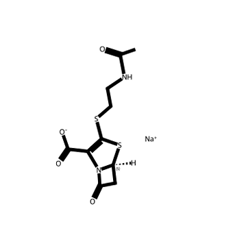 CC(=O)NCCSC1=C(C(=O)[O-])N2C(=O)C[C@@H]2S1.[Na+]